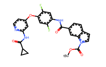 CC(C)(C)OC(=O)n1ccc2ccc(C(=O)Nc3cc(F)c(Oc4ccnc(NC(=O)C5CC5)c4)cc3F)cc21